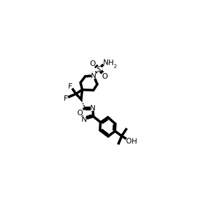 CC(C)(O)c1ccc(-c2noc([C@@H]3C(F)(F)C34CCN(S(N)(=O)=O)CC4)n2)cc1